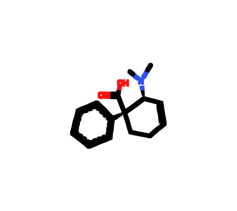 CN(C)[C@@H]1C=CCC[C@]1(C(=O)O)c1ccccc1